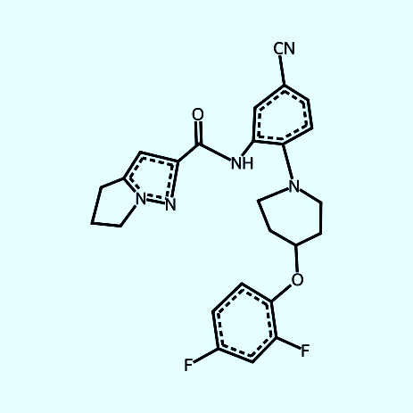 N#Cc1ccc(N2CCC(Oc3ccc(F)cc3F)CC2)c(NC(=O)c2cc3n(n2)CCC3)c1